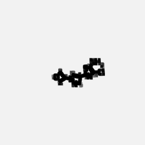 Nc1sc(-c2cnn(C3COC3)c2)nc1Cl